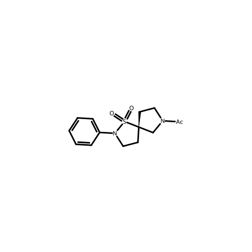 CC(=O)N1CC[C@]2(CCN(c3ccccc3)S2(=O)=O)C1